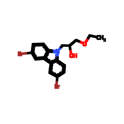 CCOCC(O)Cn1c2ccc(Br)cc2c2cc(Br)ccc21